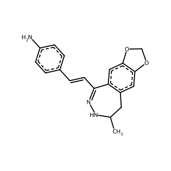 CC1Cc2cc3c(cc2C(C=Cc2ccc(N)cc2)=NN1)OCO3